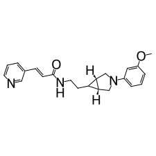 COc1cccc(N2C[C@@H]3C(CCNC(=O)/C=C/c4cccnc4)[C@@H]3C2)c1